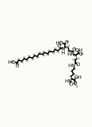 CN[C@@H](CCCCNC(=O)CC[C@H](NC(=O)CC[C@H](NC(=O)CCCCCCCCCCCCCCCCC(=O)O)C(=O)O)C(=O)O)C(=O)O